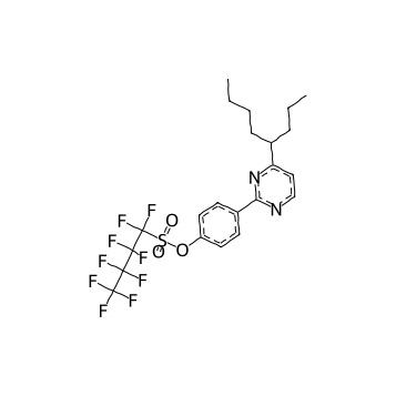 CCCCC(CCC)c1ccnc(-c2ccc(OS(=O)(=O)C(F)(F)C(F)(F)C(F)(F)C(F)(F)F)cc2)n1